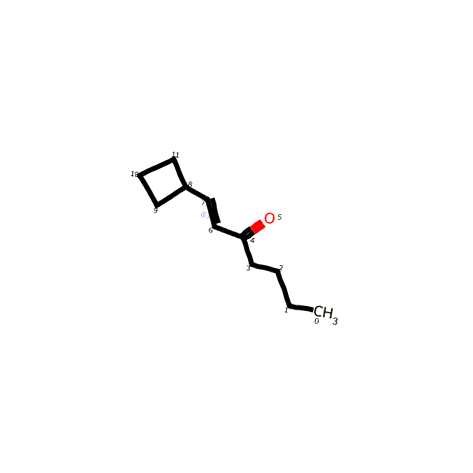 CCCCC(=O)/C=C/C1CCC1